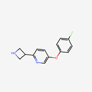 Fc1ccc(Oc2ccc(C3CNC3)nc2)cc1